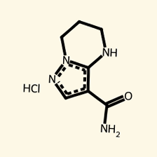 Cl.NC(=O)c1cnn2c1NCCC2